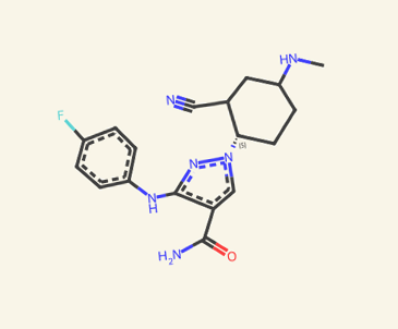 CNC1CC[C@H](n2cc(C(N)=O)c(Nc3ccc(F)cc3)n2)C(C#N)C1